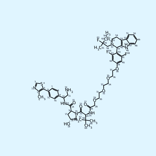 Cc1ncsc1-c1ccc(C(CN)NC(=O)[C@@H]2C[C@@H](O)CN2C(=O)[C@@H](NC(=O)COCCOCCOCCOc2cc(F)c([C@@H]3c4[nH]c5ccccc5c4C[C@@H](C)N3CC(C)(C)F)c(F)c2)C(C)(C)C)cc1